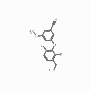 COc1cc(C#N)cc(Oc2c(Cl)ccc(CN)c2F)c1